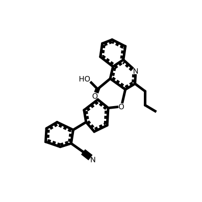 CCCc1nc2ccccc2c(C(=O)O)c1Oc1ccc(-c2ccccc2C#N)cc1